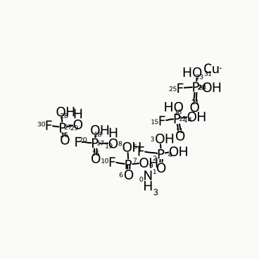 N.O=P(O)(O)F.O=P(O)(O)F.O=P(O)(O)F.O=P(O)(O)F.O=P(O)(O)F.O=P(O)(O)F.[Cu]